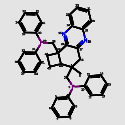 CC1(CP(c2ccccc2)c2ccccc2)Cc2nc3ccccc3nc2C2(CP(c3ccccc3)c3ccccc3)CCC12